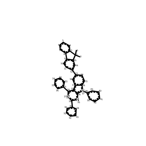 CC1(C)c2ccccc2-c2ccc(-c3ccc4c(c3)c3c(-c5ccccc5)nc(-c5ccccc5)nc3n4-c3ccccc3)cc21